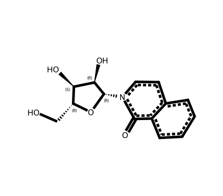 O=c1c2ccccc2ccn1[C@@H]1O[C@H](CO)[C@@H](O)[C@H]1O